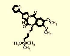 COc1cc2c(cc1OC)N(COCC[Si](C)(C)C)C(=O)[C@@H]1CC(c3cccs3)=CN1C2=O